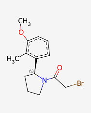 COc1cccc([C@@H]2CCCN2C(=O)CBr)c1C